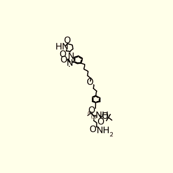 C[C@@H](OCc1ccc(CCCOCCCCCc2ccc3c(c2)n(C)c(=O)n3C2CCC(=O)NC2=O)cc1)[C@H](CCC(N)=O)NC(=O)OC(C)(C)C